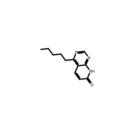 CCCCCc1ncnc2[nH]c(=O)ccc12